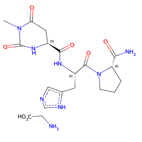 CN1C(=O)C[C@@H](C(=O)N[C@@H](Cc2cnc[nH]2)C(=O)N2CCC[C@H]2C(N)=O)NC1=O.NCC(=O)O